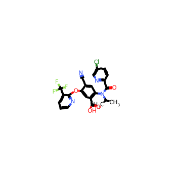 CC(C)N(C(=O)c1ccc(Cl)cn1)c1cc(C#N)c(Oc2ncccc2C(F)(F)F)cc1C(=O)O